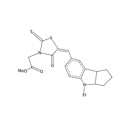 CCN1c2ccc(/C=C3/SC(=S)N(CC(=O)OC)C3=O)cc2C2CCCC21